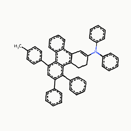 Cc1ccc(-c2cc(-c3ccccc3)c(-c3ccccc3)c3c4c(c5ccccc5c23)C=C(N(c2ccccc2)c2ccccc2)CC4)cc1